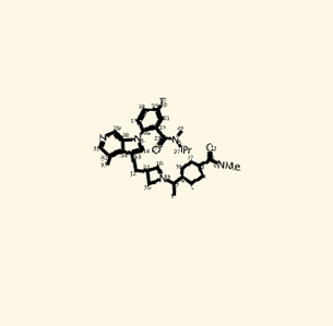 CNC(=O)C1CCC(C(C)N2CC(Cc3cn(-c4ccc(F)cc4C(=O)N(C)C(C)C)c4cncc(C)c34)C2)CC1